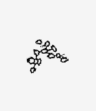 c1ccc(Oc2ccccc2-c2cc(-c3cccc(-c4c5ccccc5c(-c5ccccc5)c5ccccc45)c3)cc(-c3cccc(-c4ccc5oc6ccccc6c5c4)c3)c2-c2ccccc2)cc1